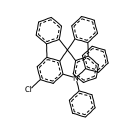 Clc1cc2c(c(N(c3ccccc3)c3ccccc3)c1)C1(c3ccccc3-c3ccccc31)c1ccccc1-2